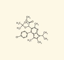 COC(=O)C(OC(C)(C)C)c1c(C)nc2c(c(C)c(C)n2C(C)C)c1-c1ccc(Cl)cc1